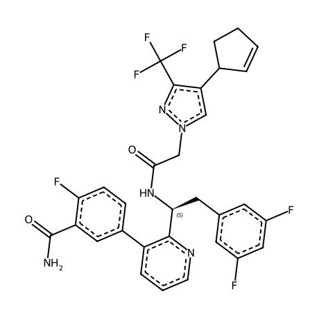 NC(=O)c1cc(-c2cccnc2[C@H](Cc2cc(F)cc(F)c2)NC(=O)Cn2cc(C3C=CCC3)c(C(F)(F)F)n2)ccc1F